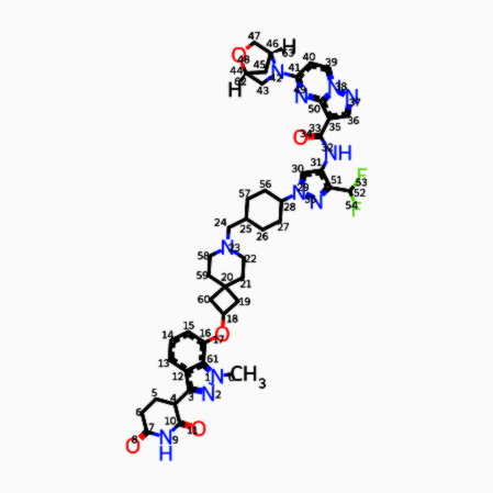 Cn1nc(C2CCC(=O)NC2=O)c2cccc(OC3CC4(CCN(CC5CCC(n6cc(NC(=O)c7cnn8ccc(N9C[C@H]%10C[C@@H]9CO%10)nc78)c(C(F)F)n6)CC5)CC4)C3)c21